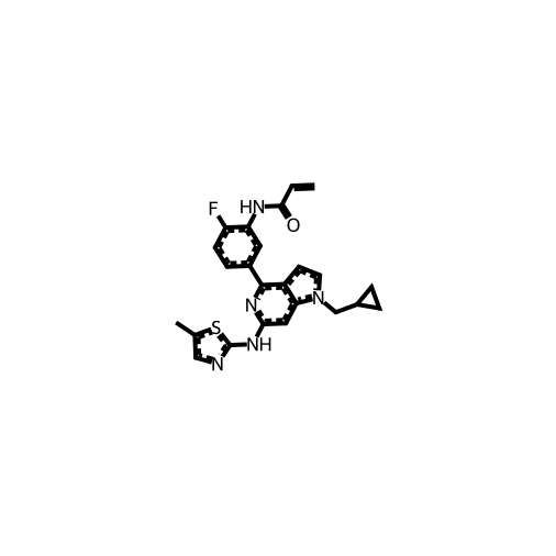 C=CC(=O)Nc1cc(-c2nc(Nc3ncc(C)s3)cc3c2ccn3CC2CC2)ccc1F